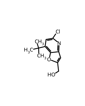 CC(C)(C)c1cc(Cl)nc2cc(CO)oc12